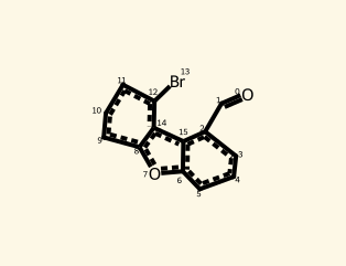 O=Cc1cccc2oc3cccc(Br)c3c12